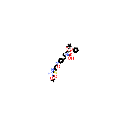 CC(C)(C)OC(=O)Nc1nc(CC(=O)Nc2ccc(C[C@H]3CC[C@H]([C@@H](COc4ccccc4)O[Si](C)(C)C(C)(C)C)N3C(=O)O)cc2)cs1